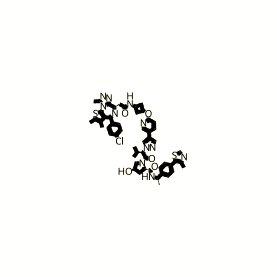 Cc1ncsc1-c1ccc([C@H](C)NC(=O)[C@@H]2C[C@@H](O)CN2C(=O)[C@@H](C(C)C)n2cc(-c3ccc(OC4CC(NC(=O)C[C@@H]5N=C(c6ccc(Cl)cc6)c6c(sc(C)c6C)-n6c(C)nnc65)C4)nc3)cn2)cc1